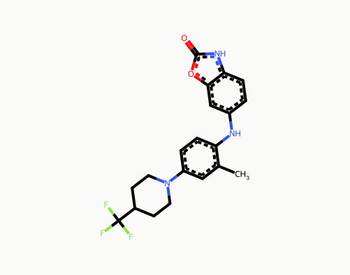 Cc1cc(N2CCC(C(F)(F)F)CC2)ccc1Nc1ccc2[nH]c(=O)oc2c1